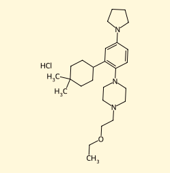 CCOCCN1CCN(c2ccc(N3CCCC3)cc2C2CCC(C)(C)CC2)CC1.Cl